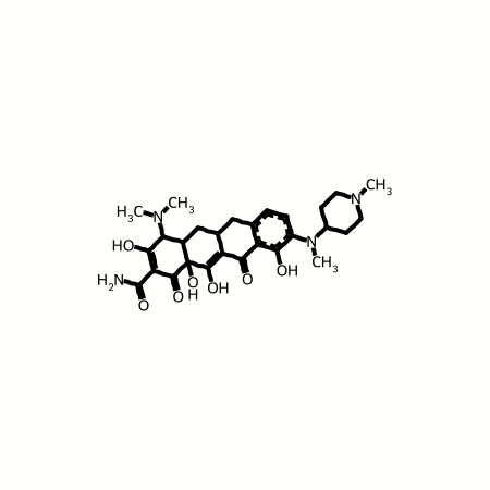 CN1CCC(N(C)c2ccc3c(c2O)C(=O)C2=C(O)C4(O)C(=O)C(C(N)=O)=C(O)C(N(C)C)C4CC2C3)CC1